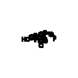 CC1=C(c2cc(Cl)cc(S(C)(=O)=O)c2)[C@@H](c2ccc(OCCN3CC(CF)C3)cc2)Oc2ccc(O)cc21